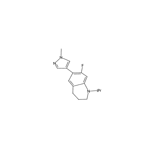 CC(C)N1CCCc2cc(-c3cnn(C)c3)c(F)cc21